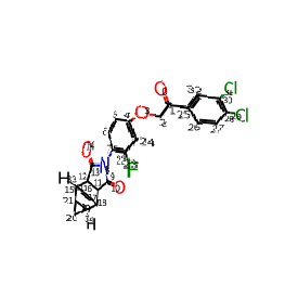 O=C(COc1ccc(N2C(=O)C3C(C2=O)[C@@H]2C=CC3[C@H]3CC23)c(F)c1)c1ccc(Cl)c(Cl)c1